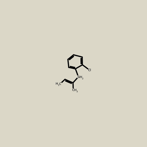 CC=C(C)[SiH2]c1ccccc1Cl